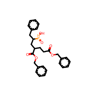 O=C(CCC(CC(Cc1ccccc1)[PH](=O)O)C(=O)OCc1ccccc1)OCc1ccccc1